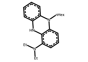 CCCCCCN1c2ccccc2Nc2c(N(CC)CC)cccc21